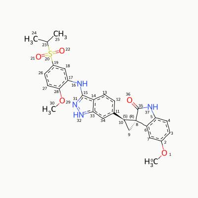 COc1ccc2c(c1)[C@]1(C[C@H]1c1ccc3c(Nc4cc(S(=O)(=O)C(C)C)ccc4OC)n[nH]c3c1)C(=O)N2